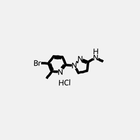 CNC1=NN(c2ccc(Br)c(C)n2)CC1.Cl